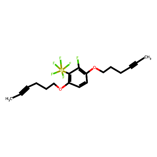 CC#CCCCOc1ccc(OCCCC#CC)c(S(F)(F)(F)(F)F)c1F